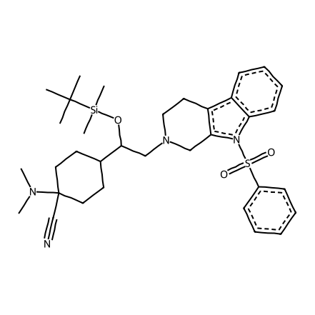 CN(C)C1(C#N)CCC(C(CN2CCc3c(n(S(=O)(=O)c4ccccc4)c4ccccc34)C2)O[Si](C)(C)C(C)(C)C)CC1